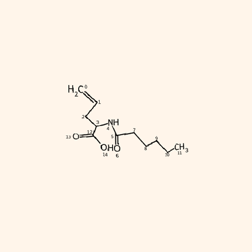 C=CCC(NC(=O)CCCCC)C(=O)O